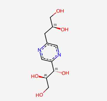 OC[C@@H](O)Cc1cnc([C@H](O)[C@H](O)CO)cn1